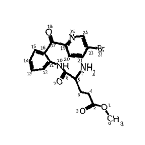 COC(=O)CCC(N)C(=O)Nc1ccccc1C(=O)c1ccc(Br)cn1